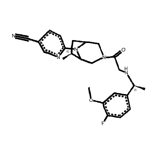 COc1cc([C@H](C)NCC(=O)N2CC3C[C@H](C)C(C2)N3c2ccc(C#N)cn2)ccc1F